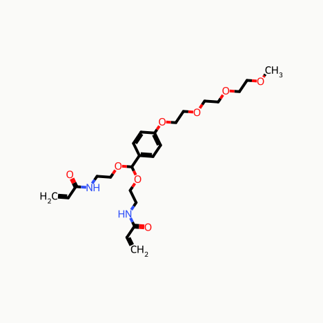 C=CC(=O)NCCOC(OCCNC(=O)C=C)c1ccc(OCCOCCOCCOC)cc1